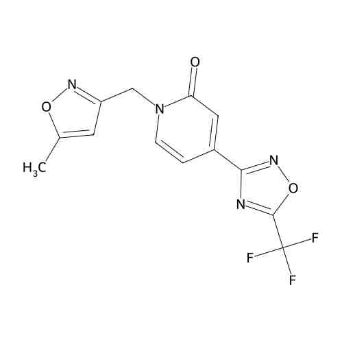 Cc1cc(Cn2ccc(-c3noc(C(F)(F)F)n3)cc2=O)no1